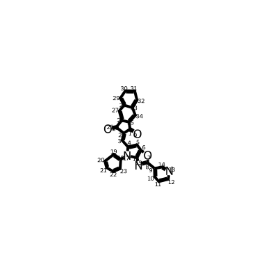 O=C1C(=Cc2cc3oc(-c4cccnc4)nc3n2-c2ccccc2)C(=O)c2cc3ccccc3cc21